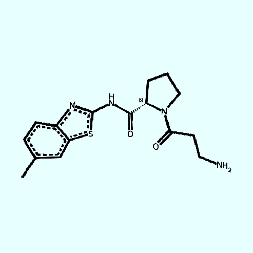 Cc1ccc2nc(NC(=O)[C@@H]3CCCN3C(=O)CCN)sc2c1